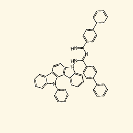 N=C(/N=C(\Nn1c2ccccc2c2c1ccc1c3ccccc3n(-c3ccccc3)c12)c1ccc(-c2ccccc2)cc1)c1ccc(-c2ccccc2)cc1